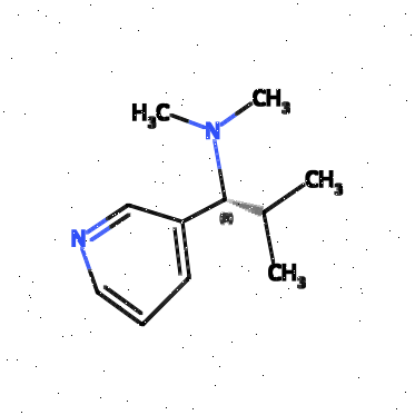 CC(C)[C@H](c1cccnc1)N(C)C